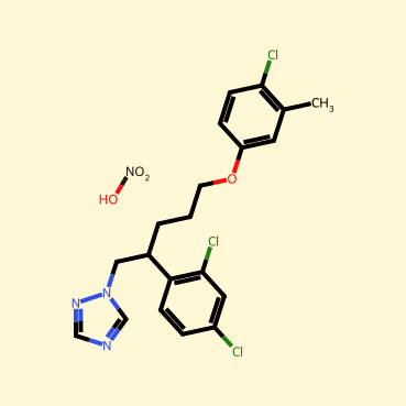 Cc1cc(OCCCC(Cn2cncn2)c2ccc(Cl)cc2Cl)ccc1Cl.O=[N+]([O-])O